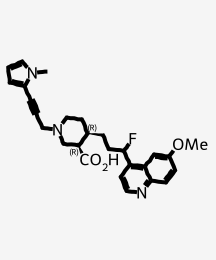 COc1ccc2nccc(C(F)CC[C@@H]3CCN(CC#Cc4cccn4C)C[C@@H]3C(=O)O)c2c1